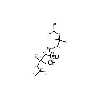 CC(C)CC(C)(C)COP(=O)(O)CC(C)(C)CC(C)C